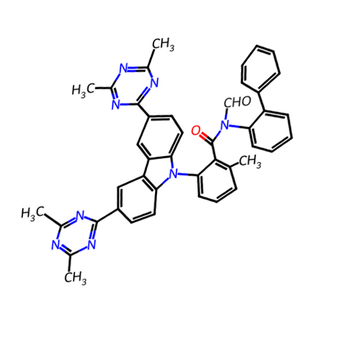 Cc1nc(C)nc(-c2ccc3c(c2)c2cc(-c4nc(C)nc(C)n4)ccc2n3-c2cccc(C)c2C(=O)N(C=O)c2ccccc2-c2ccccc2)n1